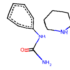 C1CCNCC1.NC(=O)Nc1ccccc1